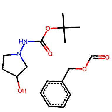 CC(C)(C)OC(=O)NN1CCC(O)C1.O=COCc1ccccc1